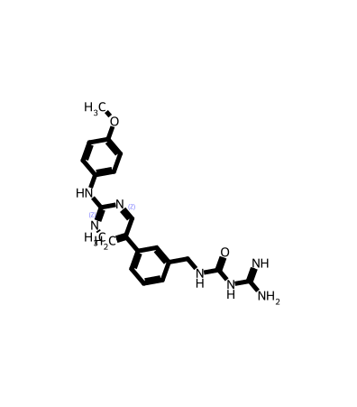 C=C(/C=N\C(=N/C)Nc1ccc(OC)cc1)c1cccc(CNC(=O)NC(=N)N)c1